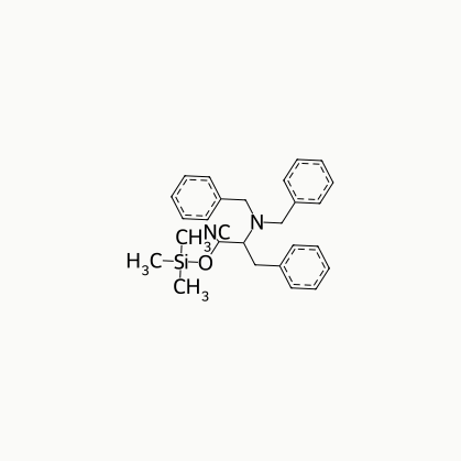 C[Si](C)(C)OC(C#N)C(Cc1ccccc1)N(Cc1ccccc1)Cc1ccccc1